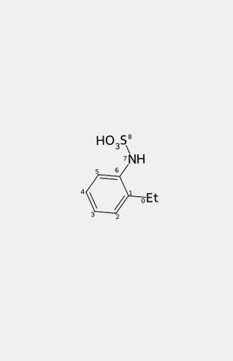 CCc1ccccc1NS(=O)(=O)O